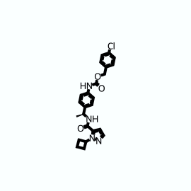 C[C@H](NC(=O)c1ccnn1C1CCC1)c1ccc(NC(=O)OCc2ccc(Cl)cc2)cc1